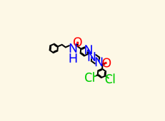 O=C(NCCCc1ccccc1)c1ccc(N2CCN(C(=O)c3cc(Cl)cc(Cl)c3)CC2)nc1